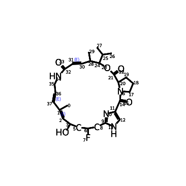 CC1=C\C(O)CC(F)Cc2nc(c[nH]2)C(=O)N2CCCC2C(=O)OC(C(C)C)C(C)/C=C/C(=O)NC\C=C\1